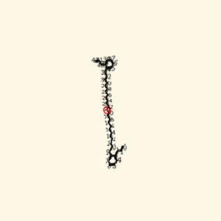 C=CCc1ccccc1CCCCCCCCCCCCOCCCCCCCCCCCCc1ccccc1CC=C